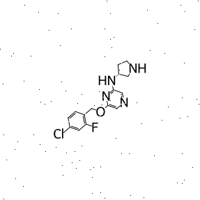 Fc1cc(Cl)ccc1COc1cncc(N[C@@H]2CCNC2)n1